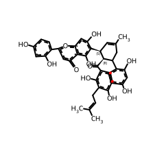 CC(C)=CCc1c(O)ccc(C(=O)[C@@H]2C(c3ccc(O)cc3O)CC(C)=C[C@@H]2c2c(O)cc3oc(-c4ccc(O)cc4O)cc(=O)c3c2O)c1O